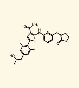 CC(O)Cc1cc(F)c(-c2cc(C(N)=O)c(Nc3cccc(CN4CCCC4=O)n3)s2)c(F)c1